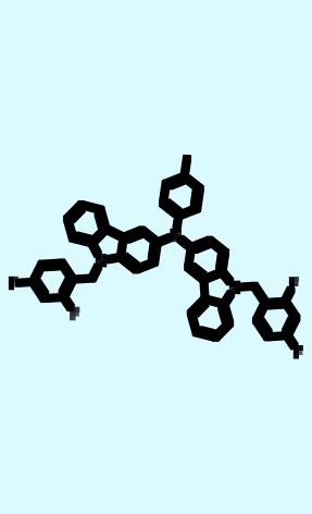 Cc1ccc(N(c2ccc3c(c2)c2ccccc2n3Cc2ccc(F)cc2F)c2ccc3c(c2)c2ccccc2n3Cc2ccc(F)cc2F)cc1